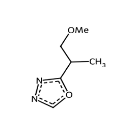 [CH2]OCC(C)c1nnco1